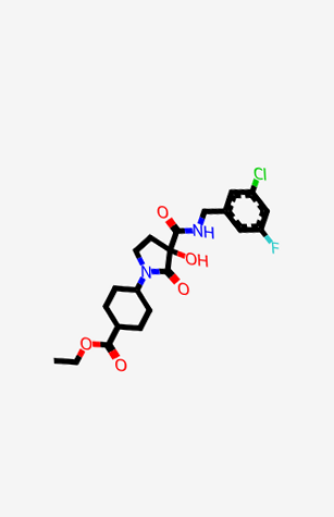 CCOC(=O)C1CCC(N2CCC(O)(C(=O)NCc3cc(F)cc(Cl)c3)C2=O)CC1